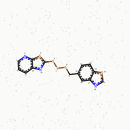 c1cnc2sc(SSSCc3ccc4scnc4c3)nc2c1